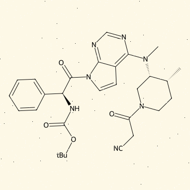 C[C@@H]1CCN(C(=O)CC#N)C[C@@H]1N(C)c1ncnc2c1ccn2C(=O)[C@@H](NC(=O)OC(C)(C)C)c1ccccc1